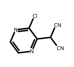 N#CC(C#N)c1nccnc1Cl